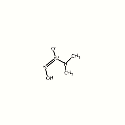 CN(C)/[N+]([O-])=N\O